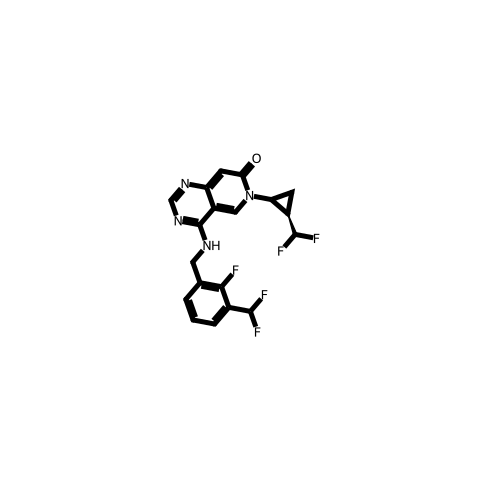 O=c1cc2ncnc(NCc3cccc(C(F)F)c3F)c2cn1C1C[C@H]1C(F)F